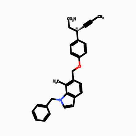 CC#C[C@@H](CC(=O)O)c1ccc(OCc2ccc3ccn(Cc4ccccc4)c3c2C)cc1